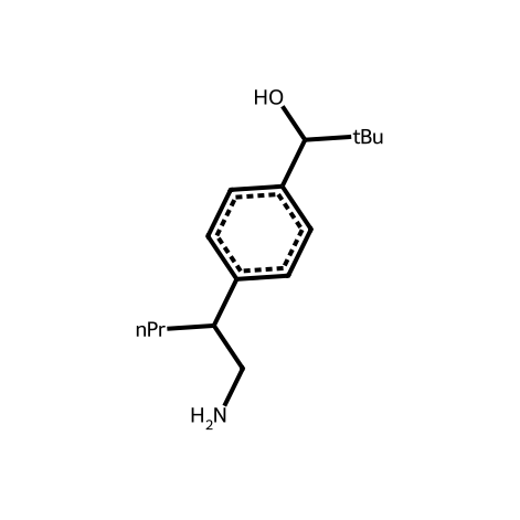 CCCC(CN)c1ccc(C(O)C(C)(C)C)cc1